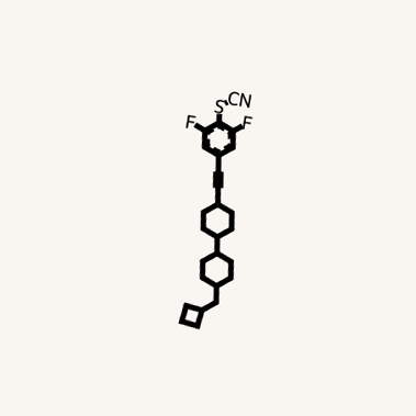 N#CSc1c(F)cc(C#CC2CCC(C3CCC(CC4CCC4)CC3)CC2)cc1F